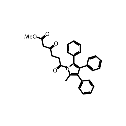 COC(=O)CC(=O)CCC(=O)n1c(C)c(-c2ccccc2)c(-c2ccccc2)c1-c1ccccc1